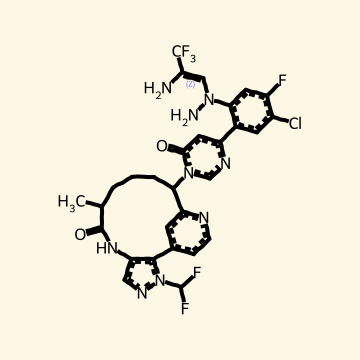 CC1CCCC(n2cnc(-c3cc(Cl)c(F)cc3N(N)/C=C(\N)C(F)(F)F)cc2=O)c2cc(ccn2)-c2c(cnn2C(F)F)NC1=O